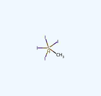 C[SH](I)(I)(I)I